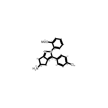 COc1ccccc1-n1nc2c(c1-c1ccc(Cl)cc1)CC(N)C2